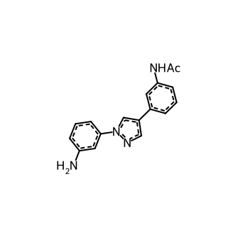 CC(=O)Nc1cccc(-c2cnn(-c3cccc(N)c3)c2)c1